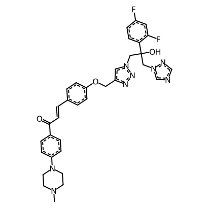 CN1CCN(c2ccc(C(=O)/C=C/c3ccc(OCc4cn(CC(O)(Cn5cncn5)c5ccc(F)cc5F)nn4)cc3)cc2)CC1